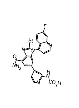 CCc1nc2c(C(N)=O)cc(-c3ccnc(NC(=O)O)c3)cc2n1-c1ccnc2cc(F)ccc12